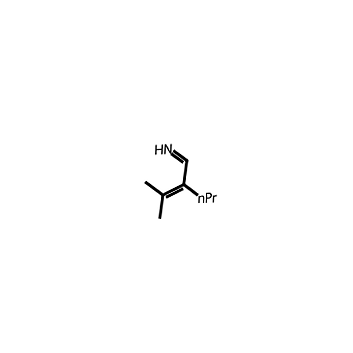 CCCC(C=N)=C(C)C